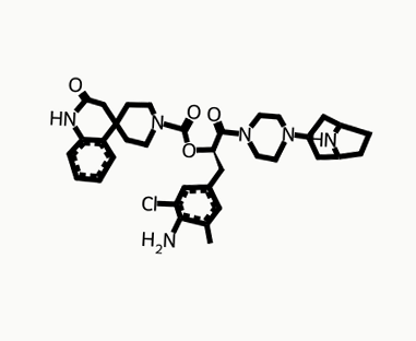 Cc1cc(C[C@@H](OC(=O)N2CCC3(CC2)CC(=O)Nc2ccccc23)C(=O)N2CCN(C3CC4CCC(C3)N4)CC2)cc(Cl)c1N